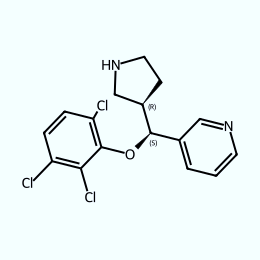 Clc1ccc(Cl)c(O[C@H](c2cccnc2)[C@@H]2CCNC2)c1Cl